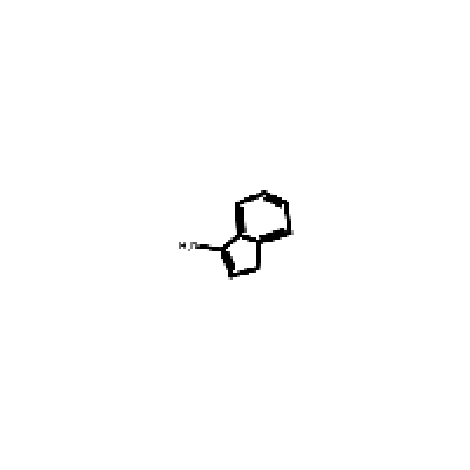 NC1=CCc2ccccc21